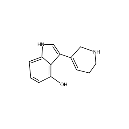 Oc1cccc2[nH]cc(C3=CCCNC3)c12